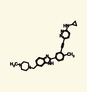 Cc1ccc(-c2nc3ccc(CN4CCN(C)CC4)cc3[nH]2)cc1C#Cc1ccc(NC2CC2)nn1